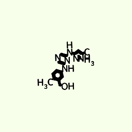 Cc1cc(Nc2cncc(Nc3ccc(C)c(CO)c3)n2)n[nH]1